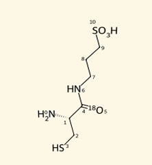 N[C@@H](CS)C(=[18O])NCCCS(=O)(=O)O